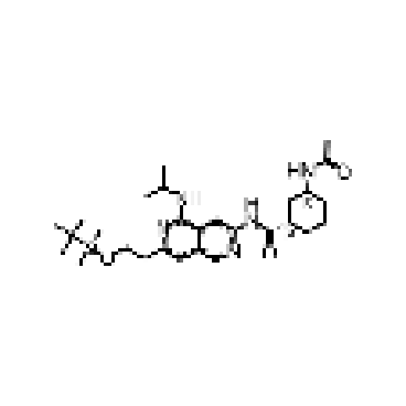 CC(=O)N[C@@H]1CCC[C@H](C(=O)Nc2cc3c(NC(C)C)nc(CCO[Si](C)(C)C(C)(C)C)cc3cn2)C1